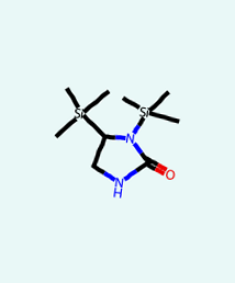 C[Si](C)(C)C1CNC(=O)N1[Si](C)(C)C